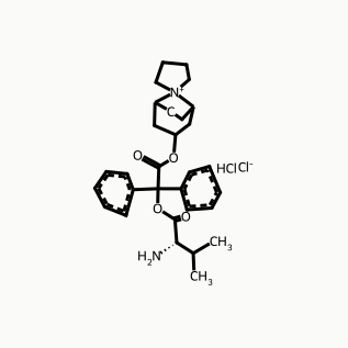 CC(C)[C@H](N)C(=O)OC(C(=O)OC1CC2CCC(C1)[N+]21CCCC1)(c1ccccc1)c1ccccc1.Cl.[Cl-]